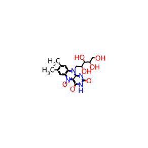 Cc1cc2c(cc1C)[n+]([O-])c1c(=O)[nH]c(=O)nc-1n2CC(O)C(O)C(O)CO